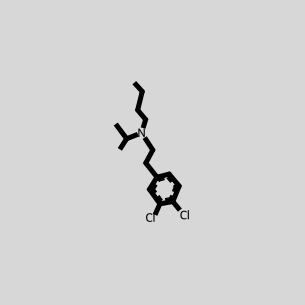 CCCCN(CCc1ccc(Cl)c(Cl)c1)C(C)C